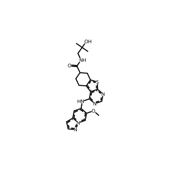 COc1cn2nccc2cc1Nc1ncnc2sc3c(c12)CCC(C(=O)NCC(C)(C)O)C3